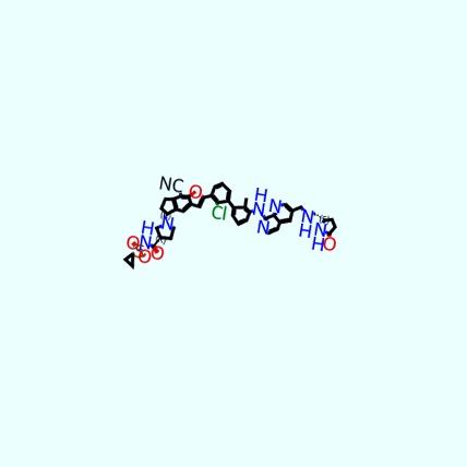 Cc1c(Nc2nccc3cc(CNC[C@@H]4CCC(=O)N4)cnc23)cccc1-c1cccc(-c2cc3cc4c(c(C#N)c3o2)CC[C@H]4N2CC[C@@H](C(=O)NS(=O)(=O)C3CC3)C2)c1Cl